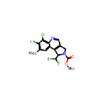 COc1cc2c3c(cnc2c(Cl)c1Cl)CN(C(=O)OC(C)(C)C)C3C(F)F